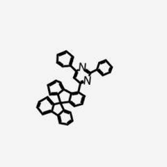 c1ccc(-c2cc(-c3cccc4c3-c3ccccc3C43c4ccccc4-c4ccccc43)nc(-c3ccccc3)n2)cc1